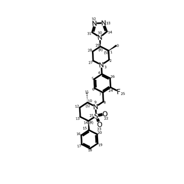 C[C@H]1CN(c2ccc(CN3[C@@H](C)CC[C@H](c4ccccc4)S3(=O)=O)c(F)c2)CC[C@H]1n1cnnc1